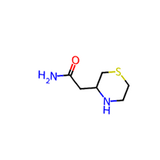 NC(=O)CC1CSCCN1